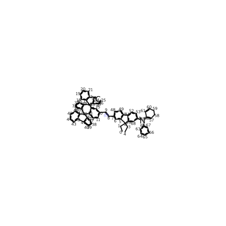 CCC1(CC)c2cc(/C=C/c3ccc4c(c3)C3(c5ccccc5-c5ccccc53)c3ccccc3C43c4ccccc4-c4ccccc43)ccc2-c2ccc(N(C3=CCCC=C3)c3ccccc3)cc21